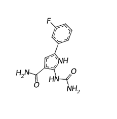 NC(=O)Nc1[nH]c(-c2cccc(F)c2)cc1C(N)=O